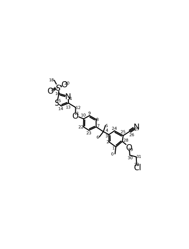 Cc1cc(C(C)(C)c2ccc(OCc3csc(S(C)(=O)=O)n3)cc2)cc(C#N)c1OCCCl